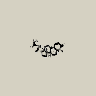 CC(NC(=O)C(C)(C)C)[C@H]1CC[C@H]2[C@@H]3CC[C@H]4N(C)C(=O)C=C[C@]4(C)[C@H]3CC[C@]12C